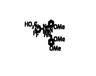 COc1ccc(CNc2nc3c(OC)cccc3c3nc([C@@H]4CN(C(=O)O)CC(F)(F)C4)nn23)c(OC)c1